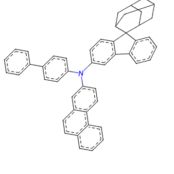 c1ccc(-c2ccc(N(c3ccc4c(c3)-c3ccccc3C43C4CC5CC(C4)CC3C5)c3ccc4c(ccc5ccccc54)c3)cc2)cc1